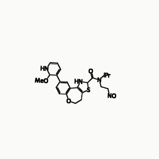 COC1NC=CC=C1c1ccc2c(c1)C1=C(CCO2)SC(C(=O)N(CCN=O)C(C)C)N1